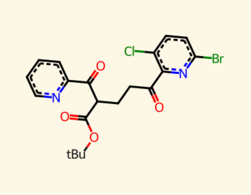 CC(C)(C)OC(=O)C(CCC(=O)c1nc(Br)ccc1Cl)C(=O)c1ccccn1